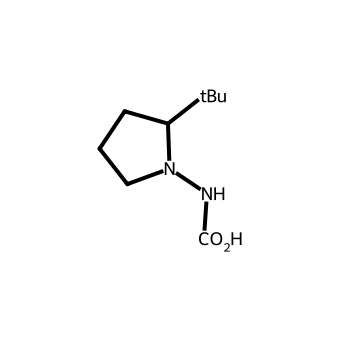 CC(C)(C)C1CCCN1NC(=O)O